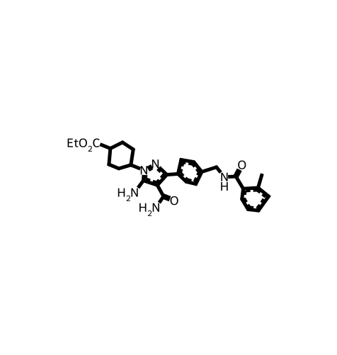 CCOC(=O)C1CCC(n2nc(-c3ccc(CNC(=O)c4ccccc4C)cc3)c(C(N)=O)c2N)CC1